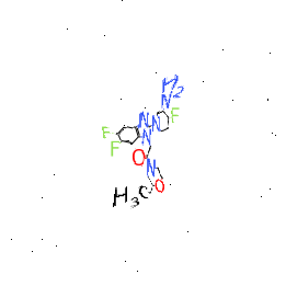 CCC1CN(C(=O)Cn2c(N3CC[C@@H](F)[C@H](N)C3)nc3cc(F)c(F)cc32)CCO1